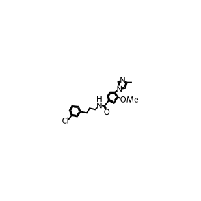 COc1cc(C(=O)NCCCc2cccc(Cl)c2)ccc1-n1cnc(C)c1